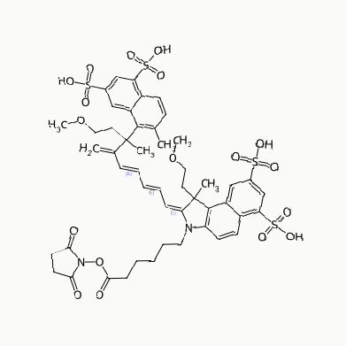 C=C(/C=C/C=C/C=C1/N(CCCCCC(=O)ON2C(=O)CCC2=O)c2ccc3c(S(=O)(=O)O)cc(S(=O)(=O)O)cc3c2C1(C)CCOC)C(C)(CCOC)c1c(C)ccc2c(S(=O)(=O)O)cc(S(=O)(=O)O)cc12